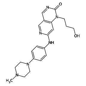 CN1CCN(c2ccc(Nc3cc4c(cn3)cnc(=O)n4CCCO)cc2)CC1